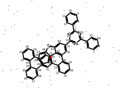 c1ccc(-c2nc(-c3ccccc3)nc(-c3cc(-c4ccccc4-c4ccc5c6ccccc6c6ccccc6c5c4)c4c(c3)sc3ccccc34)n2)cc1